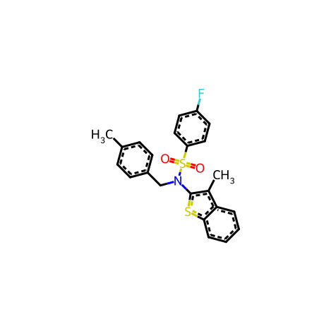 Cc1ccc(CN(c2sc3ccccc3c2C)S(=O)(=O)c2ccc(F)cc2)cc1